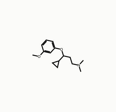 COc1cccc(OC(CCN(C)C)C2CC2)c1